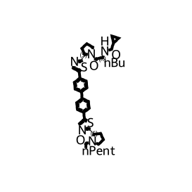 CCCCCC(=O)N1CCC[C@H]1c1ncc(-c2ccc(-c3ccc(-c4cnc([C@@H]5CCCN5C(=O)[C@@H](CCCC)NC(=O)C5CC5)s4)cc3)cc2)s1